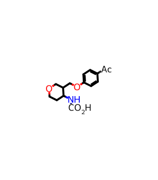 CC(=O)c1ccc(OCC2COCCC2NC(=O)O)cc1